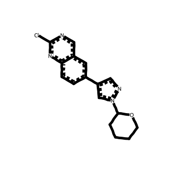 Clc1ncc2cc(-c3cnn(C4CCCCO4)c3)ccc2n1